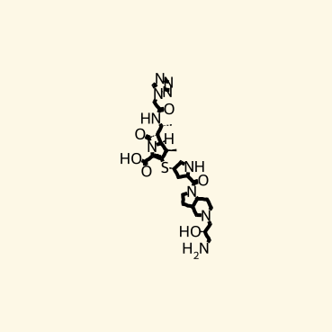 C[C@@H](NC(=O)Cn1cnnn1)[C@H]1C(=O)N2C(C(=O)O)=C(S[C@@H]3CNC(C(=O)N4CCC5CN(C[C@@H](O)CN)CCC54)C3)[C@H](C)[C@H]12